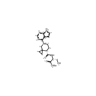 COC(=O)[C@@H](CO)NC(=O)[C@H]1CCN(c2ncnc3[nH]ccc23)CC12CC2